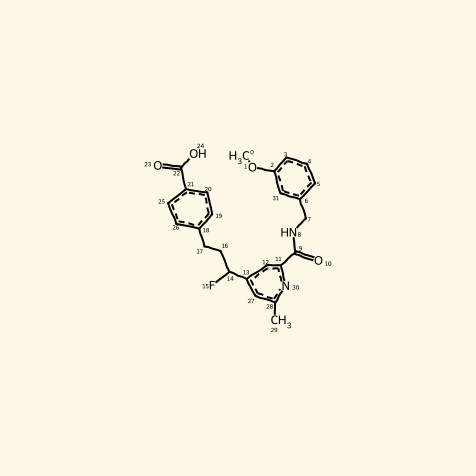 COc1cccc(CNC(=O)c2cc(C(F)CCc3ccc(C(=O)O)cc3)cc(C)n2)c1